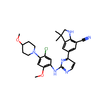 COc1cc(N2CCC(OC)CC2)c(Cl)cc1Nc1nccc(-c2cc(C#N)c3c(c2)C(C)(C)CN3)n1